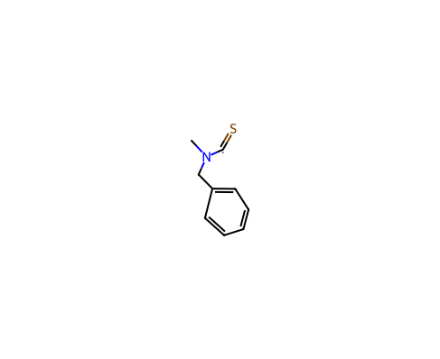 CN([C]=S)Cc1ccccc1